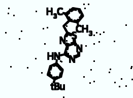 Cc1cccc(C)c1Cc1nc2c(Nc3ccc(C(C)(C)C)cc3)ncnc2s1